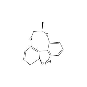 C[C@@H]1COC2=C(c3c(O)cccc3O1)[C@@H](O)CC=C2